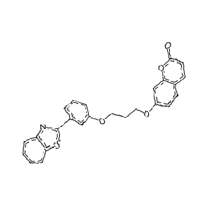 O=c1ccc2ccc(OCCCOc3cccc(-c4nc5ccccc5s4)c3)cc2o1